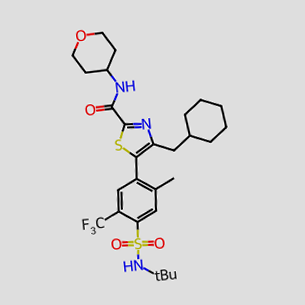 Cc1cc(S(=O)(=O)NC(C)(C)C)c(C(F)(F)F)cc1-c1sc(C(=O)NC2CCOCC2)nc1CC1CCCCC1